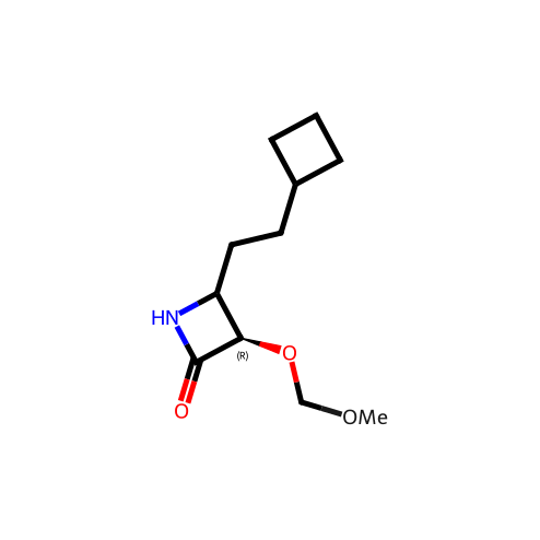 COCO[C@H]1C(=O)NC1CCC1CCC1